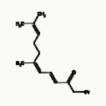 CC(C)=CCCC(C)=CC=CC(=O)CC(C)C